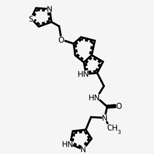 CN(Cc1cn[nH]c1)C(=O)NCc1cc2ccc(OCc3cscn3)cc2[nH]1